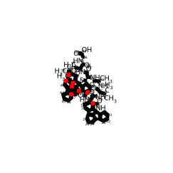 CC(C)[C@H](NC(=O)[C@H](CC(=O)NC(c1ccccc1)(c1ccccc1)c1ccccc1)NC(=O)OCC1c2ccccc2-c2ccccc21)C(=O)N[C@@H](C)C(=O)N[C@@H](CSC(c1ccccc1)(c1ccccc1)c1ccccc1)C(=O)N[C@H](C(=O)NCC(=O)O)[C@@H](C)OC(C)(C)C